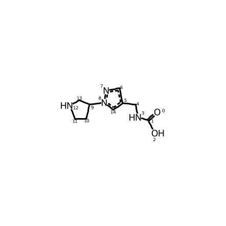 O=C(O)NCc1cnn(C2CCNC2)c1